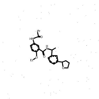 CCOc1ccc(NC(=O)C(C)C)cc1C(=O)NC(C)c1cccc(C2CCCO2)c1